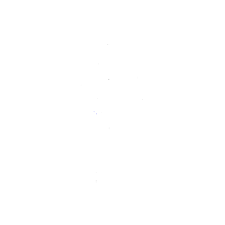 CCCCNS(=O)(=O)c1ccccc1Cl